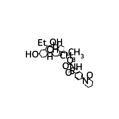 CC[C@@H]1C2C[C@H](O)CC[C@@]2(C)[C@H]2CCC3(C)[C@@H]([C@H](C)COC(=O)N[S+]([O-])c4ccc(N5CCCCC5=O)cc4)CC[C@H]3C2[C@@H]1O